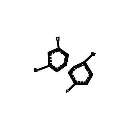 Clc1cccc(Br)c1.Fc1ccc(Br)cc1